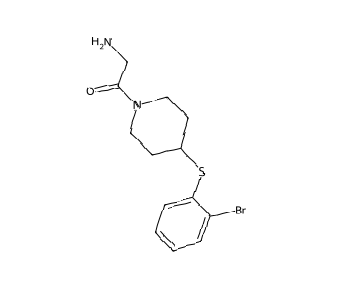 NCC(=O)N1CCC(Sc2ccccc2Br)CC1